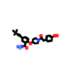 C[Si](C)(C)C#Cc1ccc(OC2CCN(C(=O)Cc3ccc(O)cc3)CC2)c(C(N)=O)c1